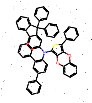 c1ccc(-c2ccc(N(c3ccc4c(c3)C(c3ccccc3)(c3ccccc3)c3ccccc3-4)c3sc(-c4ccccc4)c4c3Oc3ccccc3O4)c(-c3ccccc3)c2)cc1